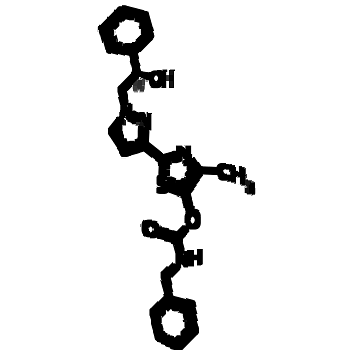 Cc1nc(-c2ccn(C[C@H](O)c3ccccc3)n2)sc1OC(=O)NCc1ccccc1